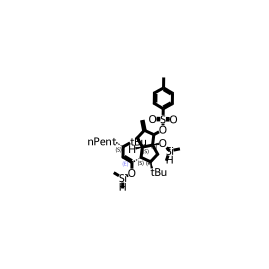 C=C1C[C@H]2[C@@H](/C(=C\[C@H](CCCCC)C(C)(C)C)O[SiH](C)C)[C@H](C(C)(C)C)C[C@@]2(O[SiH](C)C)C1OS(=O)(=O)c1ccc(C)cc1